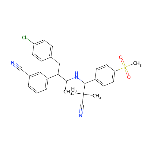 CC(NC(c1ccc(S(C)(=O)=O)cc1)C(C)(C)C#N)C(Cc1ccc(Cl)cc1)c1cccc(C#N)c1